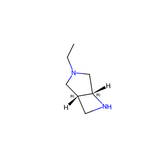 CCN1C[C@H]2CN[C@H]2C1